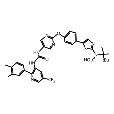 Cc1ccc(-c2ncc(C(F)(F)F)cc2NC(=O)Nc2cnc(Oc3ccc(-c4cnc(N(C(=O)O)C(C)(C)C(C)(C)C)s4)cc3)nc2)cc1C